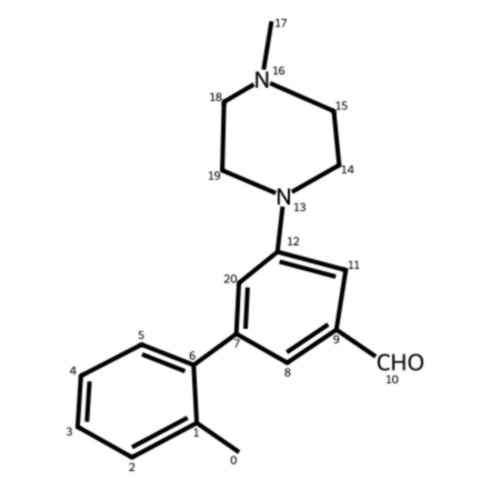 Cc1ccccc1-c1cc(C=O)cc(N2CCN(C)CC2)c1